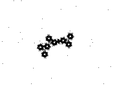 CC(C)(c1ccc2c(c1)c1ccccc1n2-c1ccccc1)c1ccc2c(c1)c1ccccc1n2-c1ccc2c(c1)c1ccccc1n2-c1ccccc1